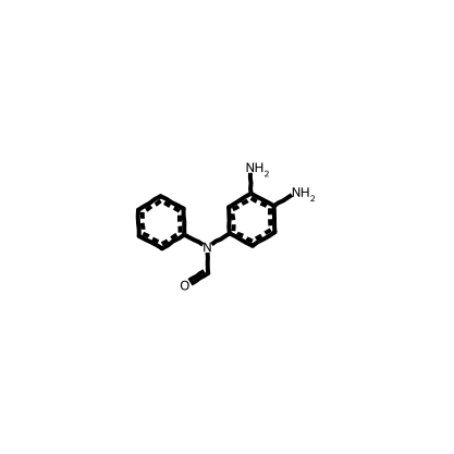 Nc1ccc(N(C=O)c2ccccc2)cc1N